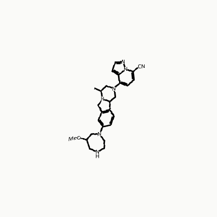 COC1CNCCN(c2ccc3c(c2)CN2C(C)CN(c4ccc(C#N)n5nccc45)CC32)C1